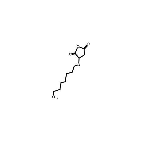 CCCCCCCCOC1CC(=O)OC1=O